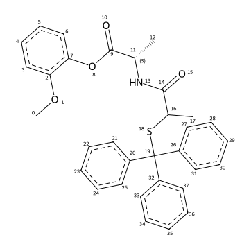 COc1ccccc1OC(=O)[C@H](C)NC(=O)C(C)SC(c1ccccc1)(c1ccccc1)c1ccccc1